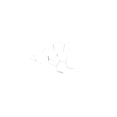 COc1ccc2c3c1O[C@@H]1C(F)CC[C@]4(O)[C@H](C2)N(CC2CC2)CCC314